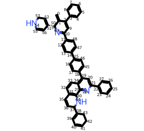 C=C1C(c2ccccc2)=CC(c2ccc(-c3ccc(-c4cc(-c5ccccc5)nc5c6c(ccc45)C=CC(C4=CC=CCC4)N6)cc3)cc2)=N[C@@H]1C1=CCNC=C1